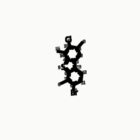 Cc1cc2c(sc3c(C)c(Br)ccc32)c(C)c1Cl